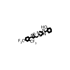 Oc1ccccc1-c1nc2cnn(Cc3cc(-c4ccc(C(F)(F)F)cc4C(F)(F)F)no3)cc-2n1